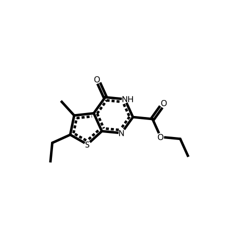 CCOC(=O)c1nc2sc(CC)c(C)c2c(=O)[nH]1